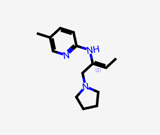 C/C=C(/CN1CCCC1)Nc1ccc(C)cn1